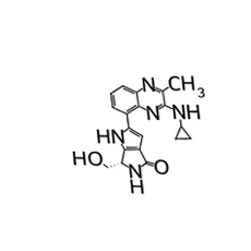 Cc1nc2cccc(-c3cc4c([nH]3)[C@@H](CO)NC4=O)c2nc1NC1CC1